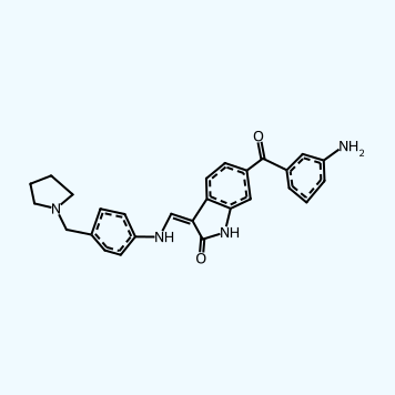 Nc1cccc(C(=O)c2ccc3c(c2)NC(=O)C3=CNc2ccc(CN3CCCC3)cc2)c1